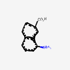 Nc1cccc2ccc(C(=O)O)cc12